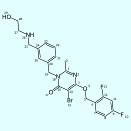 Cc1nc(OCc2ccc(F)cc2F)c(Br)c(=O)n1Cc1cccc(CNCCO)c1